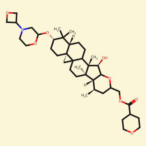 C[C@@H]1CC(COC(=O)C2CCOCC2)OC2[C@H]1[C@@]1(C)CCC34C[C@@]35CC[C@H](OC3CN(C6COC6)CCO3)C(C)(C)[C@@H]5CCC4[C@]1(C)[C@H]2O